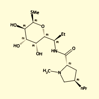 CCC[C@@H]1C[C@@H](C(=O)N[C@H](CC)[C@H]2O[C@H](SC)[C@H](O)[C@@H](O)[C@H]2O)N(C)C1